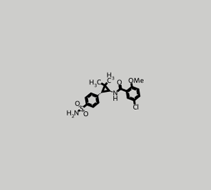 COc1ccc(Cl)cc1C(=O)N[C@@H]1[C@H](c2ccc(S(N)(=O)=O)cc2)C1(C)C